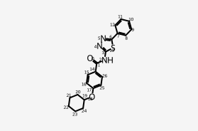 O=C(Nc1nnc(-c2ccccc2)s1)c1ccc(OC2CCCCC2)cc1